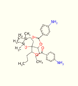 CCCC(OC(=O)c1ccc(N)cc1)C1(C(CCC)OC(=O)c2ccc(N)cc2)CC[Si](C)(C)[Si](C)(C)O1